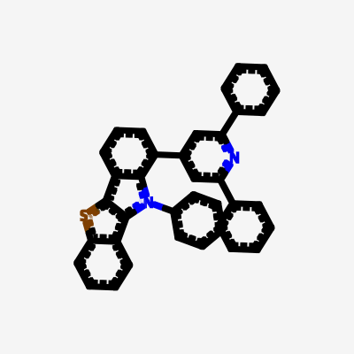 c1ccc(-c2cc(-c3cccc4c5sc6ccccc6c5n(-c5ccccc5)c34)cc(-c3ccccc3)n2)cc1